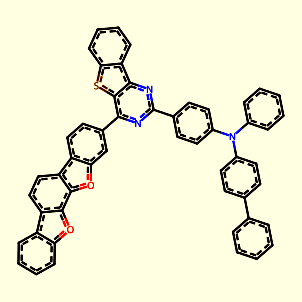 c1ccc(-c2ccc(N(c3ccccc3)c3ccc(-c4nc(-c5ccc6c(c5)oc5c6ccc6c7ccccc7oc65)c5sc6ccccc6c5n4)cc3)cc2)cc1